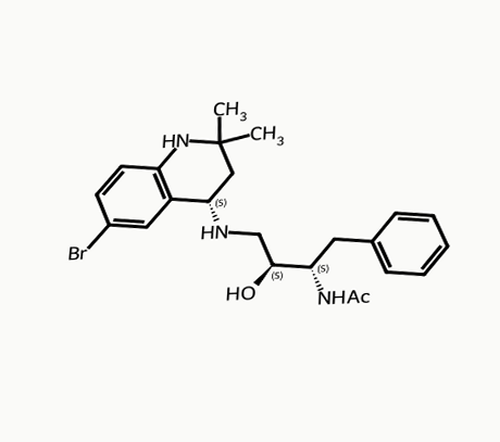 CC(=O)N[C@@H](Cc1ccccc1)[C@@H](O)CN[C@H]1CC(C)(C)Nc2ccc(Br)cc21